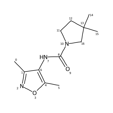 Cc1noc(C)c1NC(=O)N1CCC(C)(C)C1